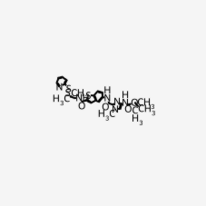 Cn1cc(NC(=O)OC(C)(C)C)nc1C(=O)Nc1ccc2sc(C(=O)NCC(C)(C)SSc3ccccn3)cc2c1